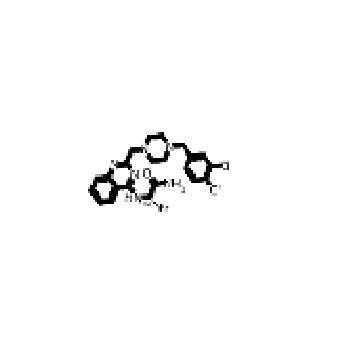 CC(C)[C@H](Nc1nc(CN2CCN(Cc3ccc(Cl)c(Cl)c3)CC2)nc2ccccc12)C(N)=O